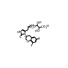 NCCc1c[nH]c(=S)n1[C@H]1COc2c(F)cc(F)cc2C1.O=C(O)C(O)C(O)C(=O)O